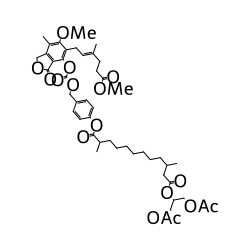 COC(=O)CC/C(C)=C/Cc1c(OC)c(C)c2c(c1OC(=O)OCc1ccc(OC(=O)C(C)CCCCCCCC(C)CC(=O)OC(COC(C)=O)COC(C)=O)cc1)C(=O)OC2